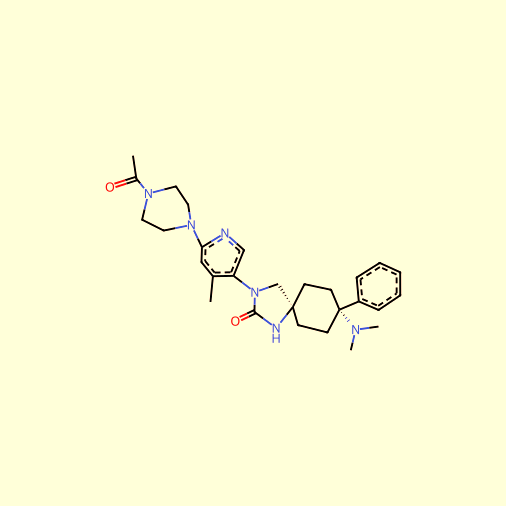 CC(=O)N1CCN(c2cc(C)c(N3C[C@]4(CC[C@@](c5ccccc5)(N(C)C)CC4)NC3=O)cn2)CC1